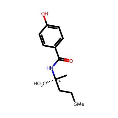 CSCC[C@](C)(NC(=O)c1ccc(O)cc1)C(=O)O